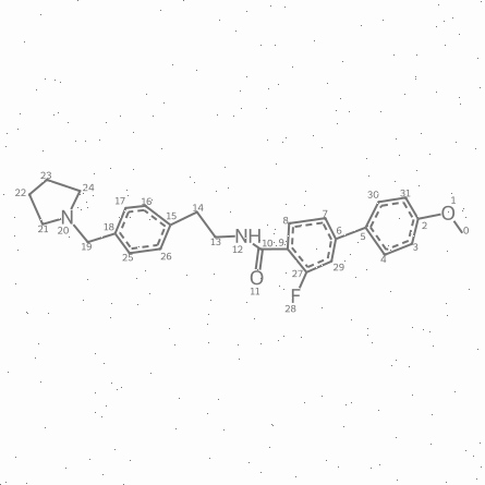 COc1ccc(-c2ccc(C(=O)NCCc3ccc(CN4CCCC4)cc3)c(F)c2)cc1